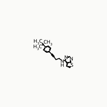 CC(C)(C)c1ccc(C#CCCNc2ncnc3sccc23)cc1